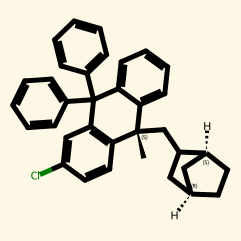 C[C@]1(CC2C[C@@H]3CC[C@H]2C3)c2ccccc2C(c2ccccc2)(c2ccccc2)c2cc(Cl)ccc21